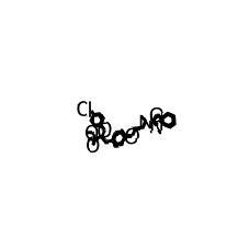 COC(=O)C(Cc1ccc(OCCN(C)c2nc3ccccc3o2)cc1)Oc1ccc(Cl)cc1